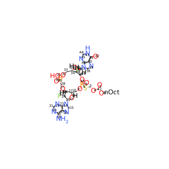 CCCCCCCCOC(=O)OCSP1(=O)OC[C@H]2O[C@@H](n3cnc4c(N)ncnc43)[C@H](F)[C@@H]2OCP(=O)(O)OC[C@H]2O[C@@H](n3cnc4c(=O)[nH]cnc43)[C@H](O1)[C@@H]2F